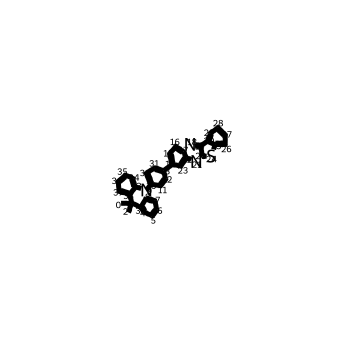 CC1(C)c2ccccc2N(c2ccc(-c3ccc4nc5c(nc4c3)sc3ccccc35)cc2)c2ccccc21